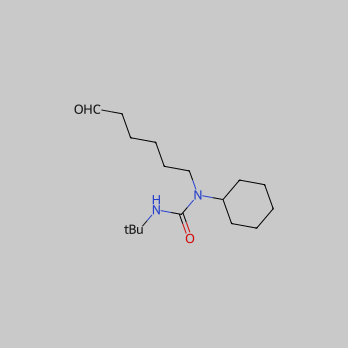 CC(C)(C)NC(=O)N(CCCCCC=O)C1CCCCC1